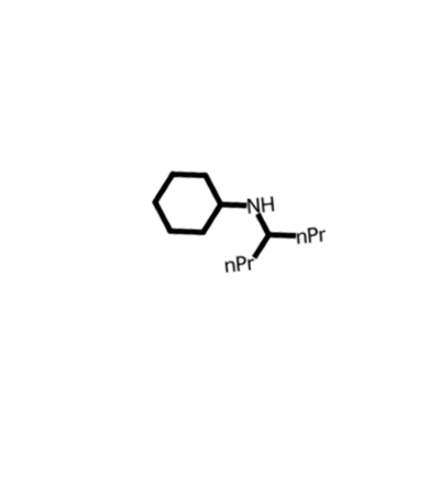 CCCC(CCC)NC1CCCCC1